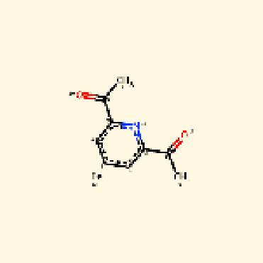 CC(=O)c1cccc(C(C)=O)n1.[Fe]